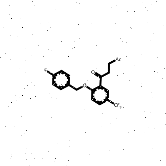 CC(=O)CCC(=O)c1cc(C(F)(F)F)ccc1OCc1ccc(F)cc1